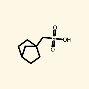 O=S(=O)(O)CC12CCC(CC1)C2